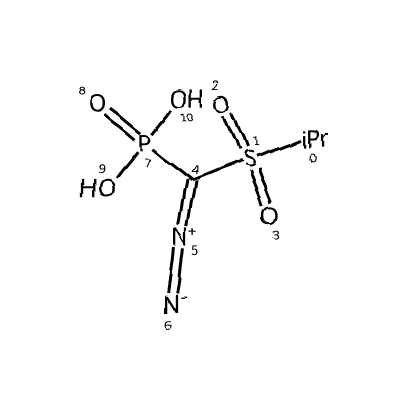 CC(C)S(=O)(=O)C(=[N+]=[N-])P(=O)(O)O